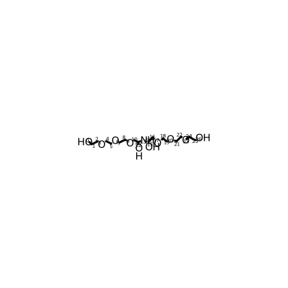 OCCOCCOCCOCC(O)NC(O)COCCOCCOCCO